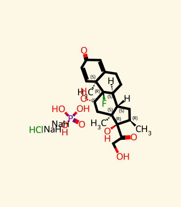 C[C@@H]1C[C@H]2[C@@H]3CCC4=CC(=O)C=C[C@]4(C)[C@@]3(F)[C@@H](O)C[C@]2(C)[C@@]1(O)C(=O)CO.Cl.O=P(O)(O)O.[NaH].[NaH]